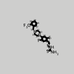 NC(=S)NN=Cc1cc(F)c(N2CCN(Cc3ccccc3C(F)(F)F)CC2)cc1F